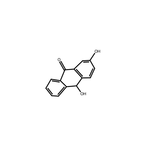 O=C1c2ccccc2C(O)c2ccc(O)cc21